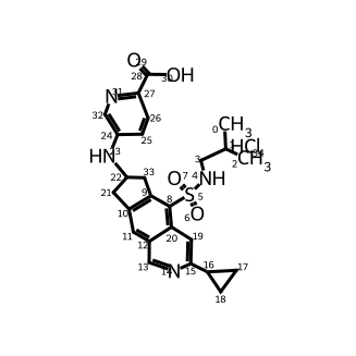 CC(C)CNS(=O)(=O)c1c2c(cc3cnc(C4CC4)cc13)CC(Nc1ccc(C(=O)O)nc1)C2.Cl